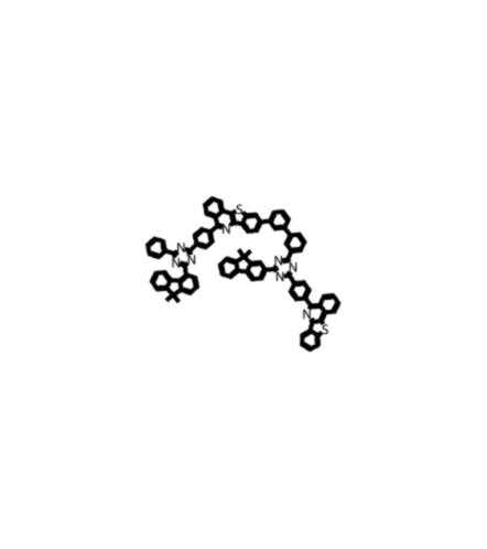 CC1(C)c2ccccc2-c2ccc(-c3nc(-c4ccc(-c5nc6c7ccccc7sc6c6ccccc56)cc4)nc(-c4cccc(-c5cccc(-c6ccc7c(c6)sc6c8ccccc8c(-c8ccc(-c9nc(-c%10ccccc%10)nc(-c%10cccc%11c%10-c%10ccccc%10C%11(C)C)n9)cc8)nc76)c5)c4)n3)cc21